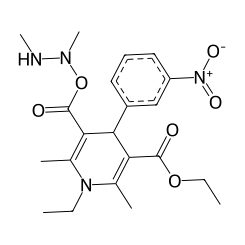 CCOC(=O)C1=C(C)N(CC)C(C)=C(C(=O)ON(C)NC)C1c1cccc([N+](=O)[O-])c1